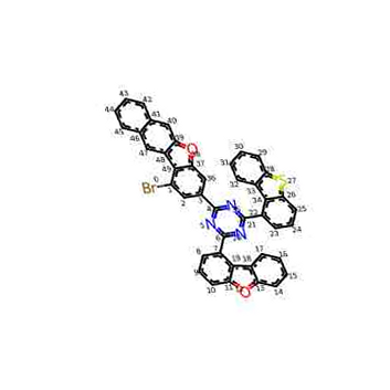 Brc1cc(-c2nc(-c3cccc4oc5ccccc5c34)nc(-c3cccc4sc5ccccc5c34)n2)cc2oc3cc4ccccc4cc3c12